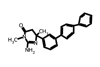 CN1C(=O)CC(C)(c2cccc(-c3ccc(-c4ccccc4)cc3)c2)N=C1N